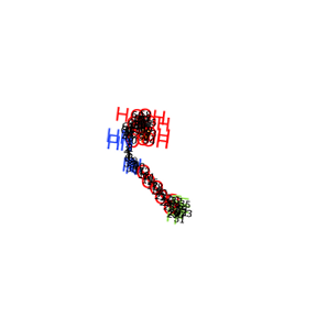 O=C(NCCCCc1cn(CCOCCOCCOCCOCCC(=O)Oc2c(F)c(F)c(F)c(F)c2F)nn1)Nc1ccc(O[C@H]2O[C@H](COP(=O)(O)O)[C@@H](O)[C@H](O)[C@@H]2O)cc1